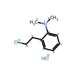 CN(C)c1ccccc1CCCl.Cl